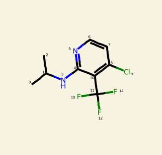 CC(C)Nc1nccc(Cl)c1C(F)(F)F